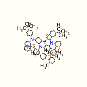 Cc1cccc(S(c2cccc(C)c2)(c2cc3c4c(c2)N(c2cccc5oc6ccccc6c25)c2c(sc5ccc(C(C)(C)C)cc25)B4c2ccc(N(c4ccc(C(C)(C)C)cc4)c4cccnc4)cc2N3c2cccc3c2sc2ccccc23)C(C)(C)C)c1